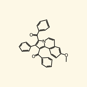 COc1ccc2c(ccn3c(C(=O)c4ccccc4)c(-c4ccccc4)c(C(=O)c4ccccc4)c23)c1